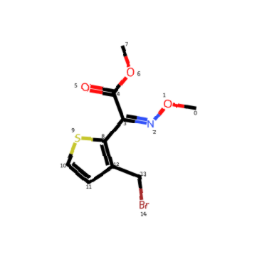 CON=C(C(=O)OC)c1sccc1CBr